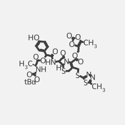 Cc1nnc(SCC2=C(C(=O)OCc3oc(=O)oc3C)N3C(=O)C(NC(=O)C(OC(=O)[C@H](C)NC(=O)OC(C)(C)C)c4ccc(O)cc4)[C@@H]3SC2)s1